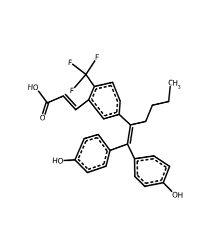 CCCCC(=C(c1ccc(O)cc1)c1ccc(O)cc1)c1ccc(C(F)(F)F)c(C=CC(=O)O)c1